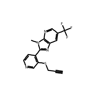 C#CCSc1cnccc1-c1nc2cc(C(F)(F)F)cnc2n1C